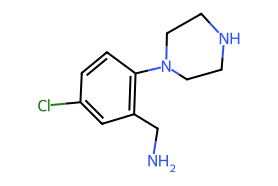 NCc1cc(Cl)ccc1N1CCNCC1